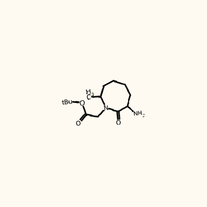 CC1CCCCC(N)C(=O)N1CC(=O)OC(C)(C)C